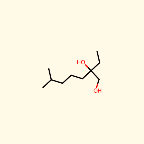 CCC(O)(CO)CCCC(C)C